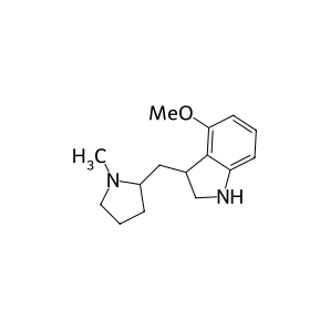 COc1cccc2c1C(CC1CCCN1C)CN2